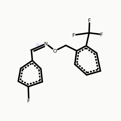 Fc1ccc(/[C]=N\OCc2ccccc2C(F)(F)F)cc1